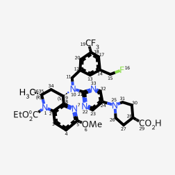 CCOC(=O)N1c2ccc(OC)nc2[C@@H](N(Cc2cc(CF)cc(C(F)(F)F)c2)c2ncc(N3CCC(C(=O)O)CC3)cn2)C[C@H]1C